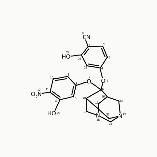 N#Cc1ccc(OC2(Oc3ccc([N+](=O)[O-])c(O)c3)C3CN4CC2CN(C3)C4)cc1O